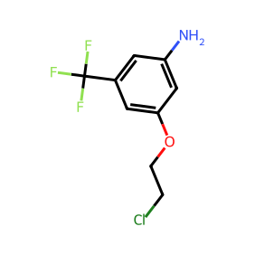 Nc1cc(OCCCl)cc(C(F)(F)F)c1